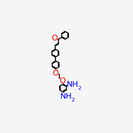 Nc1ccc(OCCOc2ccc(-c3ccc(C=CC(=O)c4ccccc4)cc3)cc2)c(N)c1